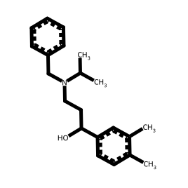 Cc1ccc(C(O)CCN(Cc2ccccc2)C(C)C)cc1C